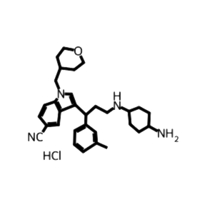 Cc1cccc(C(CCNC2CCC(N)CC2)c2cn(CC3CCOCC3)c3ccc(C#N)cc23)c1.Cl